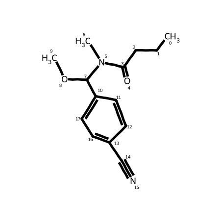 CCCC(=O)N(C)C(OC)c1ccc(C#N)cc1